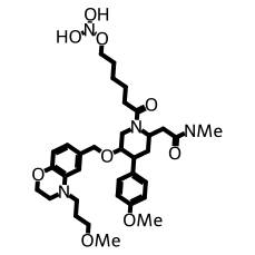 CNC(=O)CC1CC(c2ccc(OC)cc2)C(OCc2ccc3c(c2)N(CCCOC)CCO3)CN1C(=O)CCCCCON(O)O